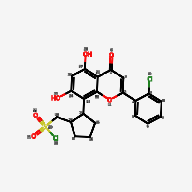 O=c1cc(-c2ccccc2Cl)oc2c(C3CCCC3CS(=O)(=O)Cl)c(O)cc(O)c12